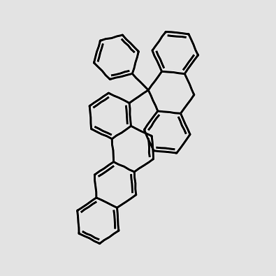 c1ccc(C2(c3cccc4c3ccc3cc5ccccc5cc34)c3ccccc3Cc3ccccc32)cc1